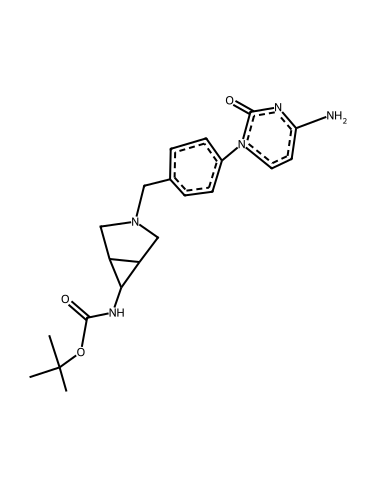 CC(C)(C)OC(=O)NC1C2CN(Cc3ccc(-n4ccc(N)nc4=O)cc3)CC21